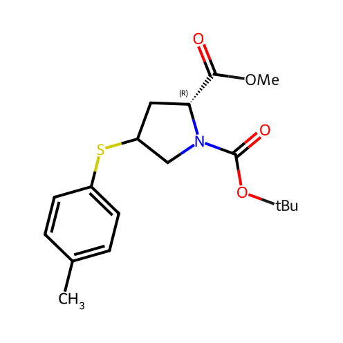 COC(=O)[C@H]1CC(Sc2ccc(C)cc2)CN1C(=O)OC(C)(C)C